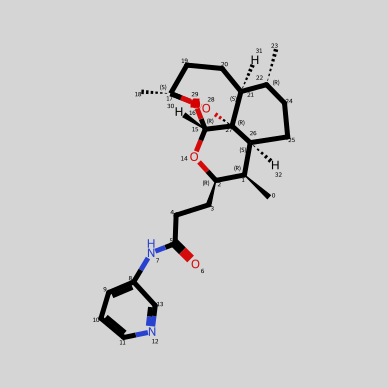 C[C@H]1[C@@H](CCC(=O)Nc2cccnc2)O[C@@H]2O[C@]3(C)CC[C@H]4[C@H](C)CC[C@@H]1[C@@]24OO3